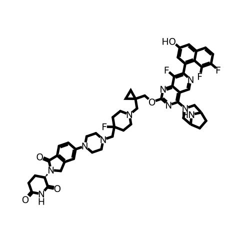 O=C1CC[C@H](N2Cc3cc(N4CCN(CC5(F)CCN(CC6(COc7nc(N8CC9CCC(C8)N9)c8cnc(-c9cc(O)cc%10ccc(F)c(F)c9%10)c(F)c8n7)CC6)CC5)CC4)ccc3C2=O)C(=O)N1